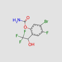 NC(=O)Oc1cc(Br)c(F)cc1C(O)C(F)(F)F